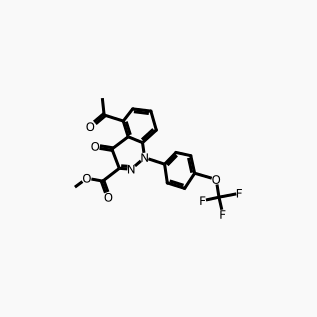 COC(=O)c1nn(-c2ccc(OC(F)(F)F)cc2)c2cccc(C(C)=O)c2c1=O